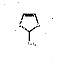 CC1SC=CS1